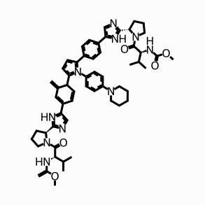 C=C(N[C@H](C(=O)N1CCC[C@H]1c1ncc(C2=CC(=C)C(c3ccc(-c4ccc(-c5cnc([C@@H]6CCCN6C(=O)[C@@H](NC(=O)OC)C(C)C)[nH]5)cc4)n3-c3ccc(N4CCCCC4)cc3)C=C2)[nH]1)C(C)C)OC